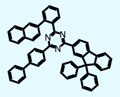 c1ccc(-c2ccc(-c3nc(-c4ccc5c(c4)C(c4ccccc4)(c4ccccc4)c4ccccc4-5)nc(-c4ccccc4-c4ccc5ccccc5c4)n3)cc2)cc1